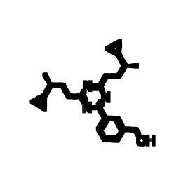 C[C@@H](CCc1nc(CC[C@H](C)C2CC2)nc(-c2cccc(CO)c2)n1)C1CC1